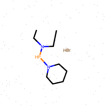 Br.CCN(CC)PN1CCCCC1